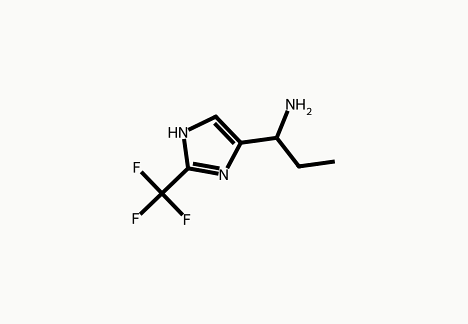 CCC(N)c1c[nH]c(C(F)(F)F)n1